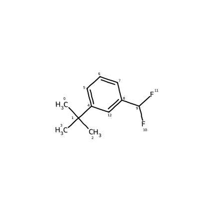 CC(C)(C)c1cccc(C(F)F)c1